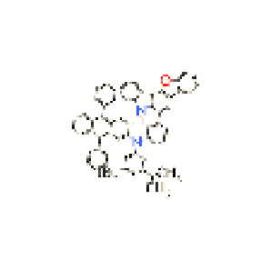 C=C(C)c1cc(N2c3cc4c(-c5ccccc5)c5ccccc5c(-c5ccccc5)c4cc3B3c4c(cccc42)-c2cc4c5ccccc5oc4c4c5ccccc5n3c24)cc(C(C)(C)C)c1